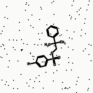 CC(C)c1ccc(S(=O)(=O)OCC(C)(C)c2ccccc2)cc1